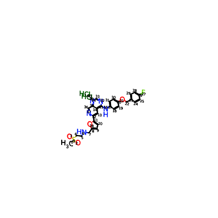 CS(=O)(=O)CCNCc1ccc(-c2cc3c(Nc4ccc(OCc5ccc(F)cc5)cc4)ncnc3cn2)o1.Cl.Cl